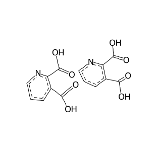 O=C(O)c1cccnc1C(=O)O.O=C(O)c1cccnc1C(=O)O